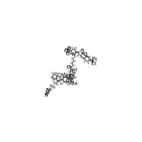 CCN(CC)c1ccc2cc(/C=C/c3ccc(S(=O)(=O)[O-])c[n+]3CCCCCC(=O)NCC3=C[C@H](c4c(OC)cc(C(C)(C)[C@@H](CCCCCN=[N+]=[N-])c5ccccc5)cc4OC)[C@@H]4C[C@H]3C4(C)C)c(=O)oc2c1